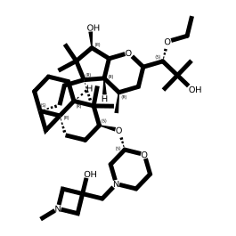 CCO[C@@H](C1C[C@@H](C)[C@H]2C(O1)[C@H](O)C(C)(C)[C@]2(C)CC[C@]12CCC[C@H]3C(C)(C)[C@@H](O[C@H]4CN(CC5(O)CN(C)C5)CCO4)CC[C@@]31C2)C(C)(C)O